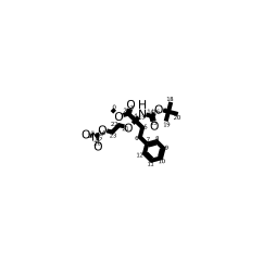 COC(=O)C(CCc1ccccc1)(NC(=O)OC(C)(C)C)OCCO[N+](=O)[O-]